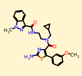 COc1cccc(-c2sc(N)nc2C(=O)N(CCNC(=O)c2nn(C)c3ccccc23)CC2CC2)c1